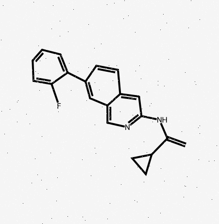 C=C(Nc1cc2ccc(-c3ccccc3F)cc2cn1)C1CC1